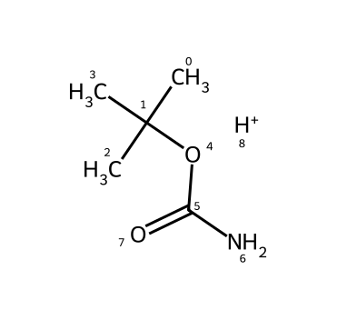 CC(C)(C)OC(N)=O.[H+]